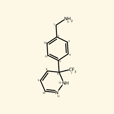 NCc1ccc(C2(C(F)(F)F)C=CC=NN2)cc1